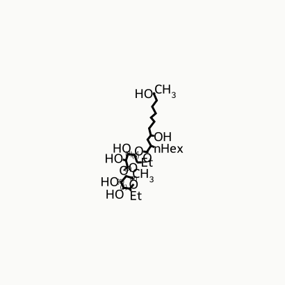 CCCCCCC(CC(O)CCCCCCC(C)O)C(=O)O[C@@H]1C(CC)O[C@@H](OC2[C@@H](O)[C@H](O)C(CC)O[C@@H]2C)C(O)[C@H]1O